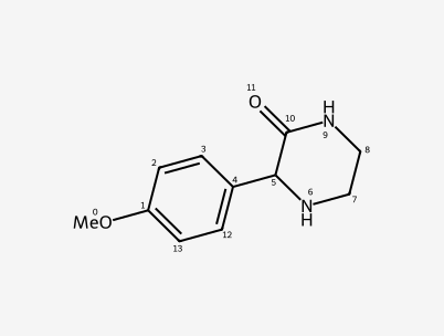 COc1ccc(C2NCCNC2=O)cc1